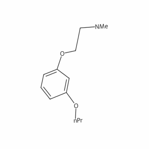 CCCOc1cccc(OCCNC)c1